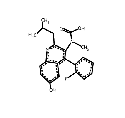 CC(C)Cc1nc2ccc(O)cc2c(-c2ccccc2F)c1N(C)C(=O)O